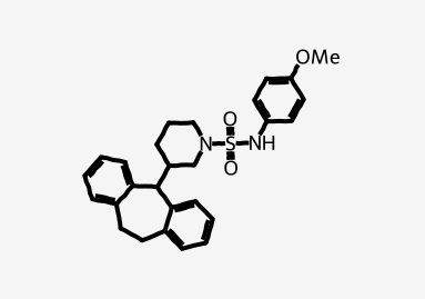 COc1ccc(NS(=O)(=O)N2CCCC(C3c4ccccc4CCc4ccccc43)C2)cc1